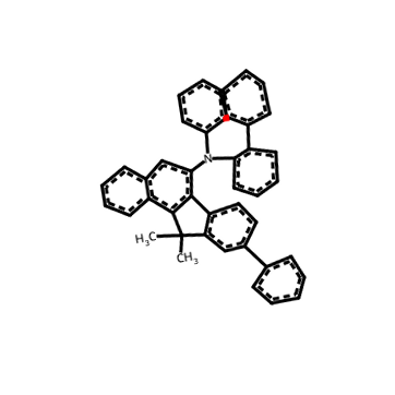 CC1(C)c2cc(-c3ccccc3)ccc2-c2c(N(c3ccccc3)c3ccccc3-c3ccccc3)cc3ccccc3c21